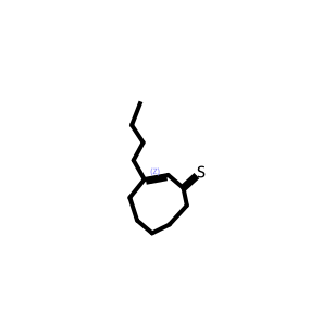 CCCC/C1=C/C(=S)CCCCC1